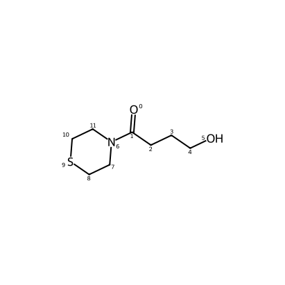 O=C(CCCO)N1CCSCC1